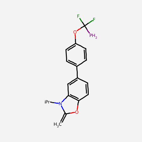 C=C1Oc2ccc(-c3ccc(OC(F)(F)P)cc3)cc2N1C(C)C